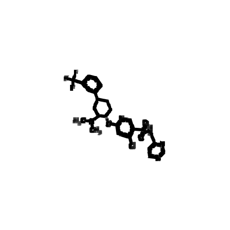 CN(C)[C@H]1C[C@@H](c2cccc(C(F)(F)F)c2)CC[C@@H]1Oc1cc(Cl)c(S(=O)(=O)Nc2ccncn2)cn1